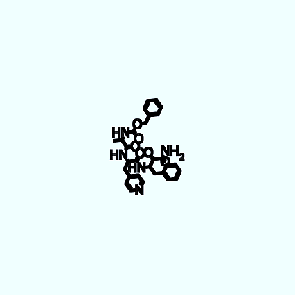 CC(NC(=O)OCc1ccccc1)C(=O)NC(Cc1ccncc1)C(=O)NC(Cc1ccccc1)C(=O)C(N)=O